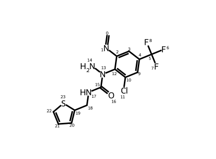 C=Nc1cc(C(F)(F)F)cc(Cl)c1N(N)C(=O)NCc1cccs1